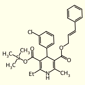 CCC1=C(C(=O)O[Si](C)(C)C)C(c2cccc(Cl)c2)C(C(=O)OCC=Cc2ccccc2)=C(C)N1